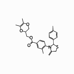 C=C1CSC(c2ccc(C)cc2)N1c1ccc(C(=O)OCC2COC(C)=C(C)O2)cc1C